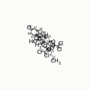 CCCCOC(=O)[C@@]1(OC(=O)C(Cl)Cl)[C@H](OC(=O)C(Cl)Cl)C[C@H]2[C@@H]3CCC4=CC(=O)C=C[C@]4(C)[C@@]3(F)[C@@H](O)C[C@@]21C